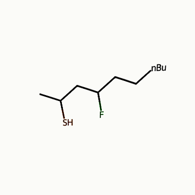 CCCCCCC(F)CC(C)S